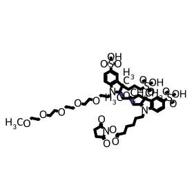 COCCOCCOCCOCCOCCN1/C(=C/C(C)=C/C2=[N+](CCCCCC(=O)ON3C(=O)CCC3=O)c3ccc(S(=O)(=O)O)cc3C2(C)CCOC)C(C)(CCCS(=O)(=O)O)c2cc(S(=O)(=O)O)ccc21